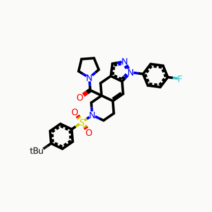 CC(C)(C)c1ccc(S(=O)(=O)N2CCC3=Cc4c(cnn4-c4ccc(F)cc4)CC3(C(=O)N3CCCC3)C2)cc1